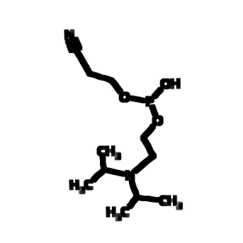 CC(C)N(CCOP(O)OCCC#N)C(C)C